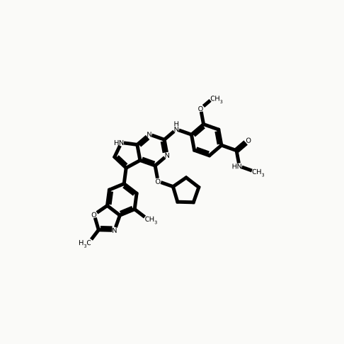 CNC(=O)c1ccc(Nc2nc(OC3CCCC3)c3c(-c4cc(C)c5nc(C)oc5c4)c[nH]c3n2)c(OC)c1